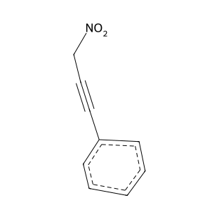 O=[N+]([O-])CC#Cc1ccccc1